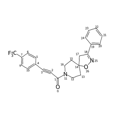 O=C(C#Cc1ccc(C(F)(F)F)cc1)N1CCC2(CC1)CC(c1ccccc1)=NO2